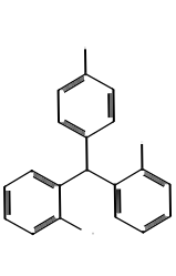 Oc1ccc(C(c2ccccc2O)c2ccccc2O)cc1